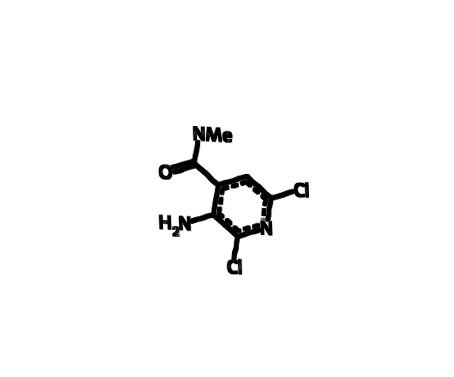 CNC(=O)c1cc(Cl)nc(Cl)c1N